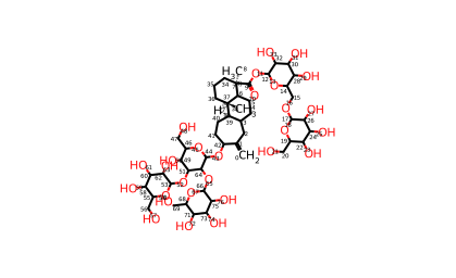 C=C1CC2CCC3[C@](C)(C(=O)OC4OC(COC5OC(CO)C(O)C(O)C5O)C(O)C(O)C4O)CCC[C@@]3(C)[C@@H]2CCC1OC1OC(CO)C(O)C(OC2OC(CO)C(O)C(O)C2O)C1OC1OC(CO)C(O)C(O)C1O